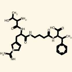 CC(O)C(N)C(=O)NC(CC1=CCN(C(=N)N)C1)C(=O)NCCCC(=O)NC(C(=O)O)C(C)c1ccccc1